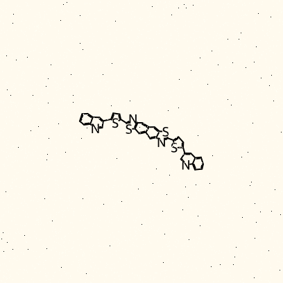 c1ccc2ncc(-c3ccc(-c4nc5cc6cc7sc(-c8ccc(-c9cnc%10ccccc%10c9)s8)nc7cc6cc5s4)s3)cc2c1